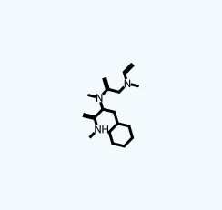 C=CN(C)CC(=C)N(C)C(CC1CCCCC1)C(=C)NC